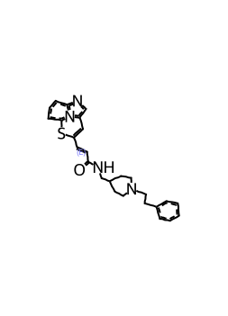 O=C(/C=C/C1=Cc2cnc3cccc(n23)S1)NCC1CCN(CCc2ccccc2)CC1